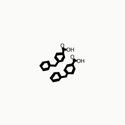 O=C(O)c1ccc(Cc2ccccc2)cc1.O=C(O)c1ccc(Cc2ccccc2)cc1